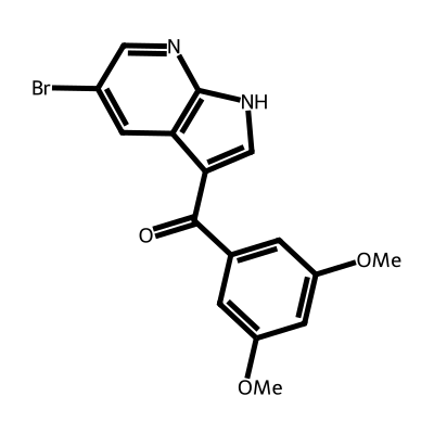 COc1cc(OC)cc(C(=O)c2c[nH]c3ncc(Br)cc23)c1